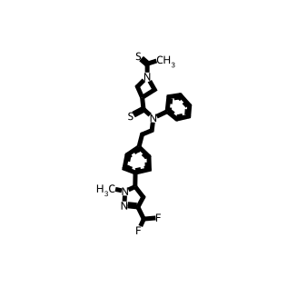 CC(=S)N1CC(C(=S)N(CCc2ccc(C3CC(C(F)F)=NN3C)cc2)c2ccccc2)C1